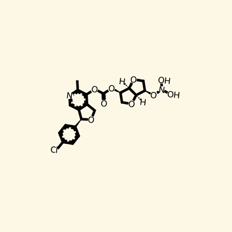 Cc1ncc2c(c1OC(=O)O[C@@H]1CO[C@H]3[C@@H]1OC[C@H]3ON(O)O)CO[C@H]2c1ccc(Cl)cc1